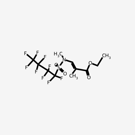 CCOC(=O)C(C)=CN(C)S(=O)(=O)C(F)(F)C(F)(F)C(F)(F)C(F)(F)F